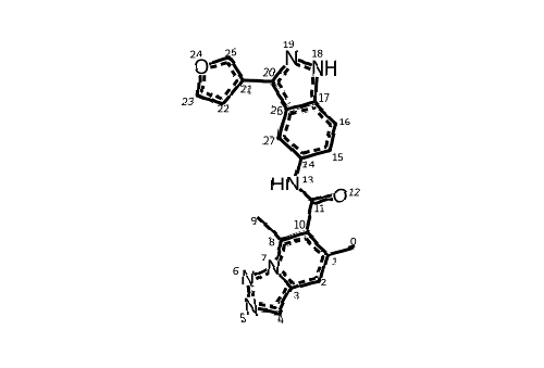 Cc1cc2cnnn2c(C)c1C(=O)Nc1ccc2[nH]nc(-c3ccoc3)c2c1